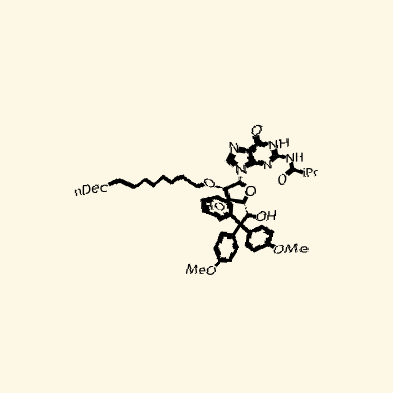 CCCCCCCCCCCCCCCCCCO[C@@H]1[C@H](O)[C@@H](C(O)C(c2ccccc2)(c2ccc(OC)cc2)c2ccc(OC)cc2)O[C@H]1n1cnc2c(=O)[nH]c(NC(=O)C(C)C)nc21